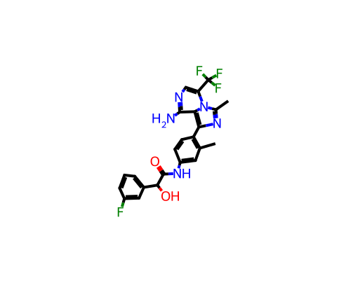 Cc1cc(NC(=O)C(O)c2cccc(F)c2)ccc1-c1nc(C)n2c(C(F)(F)F)cnc(N)c12